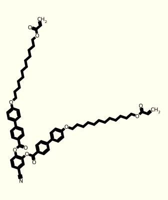 C=CC(=O)OCCCCCCCCCCCCOc1ccc(-c2ccc(C(=O)Oc3ccc(C#N)cc3OC(=O)c3ccc(-c4ccc(OCCCCCCCCCCCCOC(=O)C=C)cc4)cc3)cc2)cc1